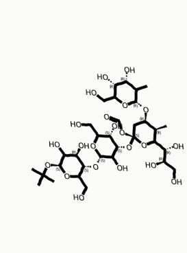 CC1[C@H](O[C@@H]2C[C@@](OC=O)(O[C@@H]3C(O)[C@H](O[C@@H]4C(CO)O[C@@H](OC(C)(C)C)C(O)[C@H]4O)OC(CO)[C@@H]3O)OC([C@H](O)[C@H](O)CO)[C@@H]2C)OC(CO)[C@H](O)[C@@H]1O